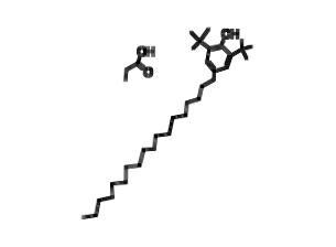 CCC(=O)O.CCCCCCCCCCCCCCCCCCc1cc(C(C)(C)C)c(O)c(C(C)(C)C)c1